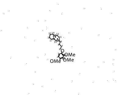 COc1ccc(OCCCCN2CCN3CCCCC3C2)c(OC)c1OC